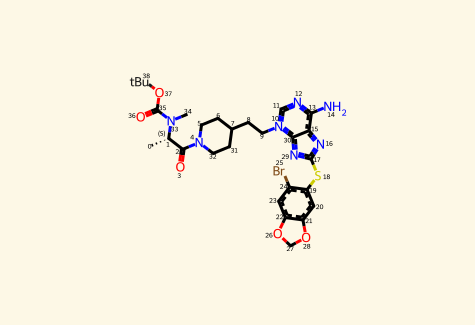 C[C@@H](C(=O)N1CCC(CCn2cnc(N)c3nc(Sc4cc5c(cc4Br)OCO5)nc2-3)CC1)N(C)C(=O)OC(C)(C)C